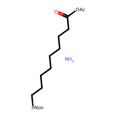 CCCCCCCCCCCCCCCCCC(=O)OC(C)=O.N